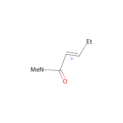 CC/C=C/C(=O)NC